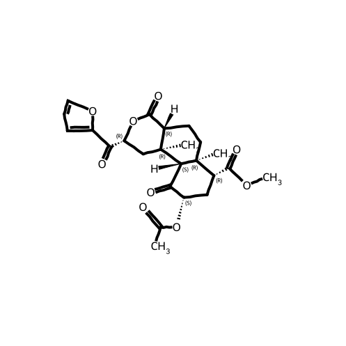 COC(=O)[C@@H]1C[C@H](OC(C)=O)C(=O)[C@H]2[C@@]1(C)CC[C@H]1C(=O)O[C@@H](C(=O)c3ccco3)C[C@]21C